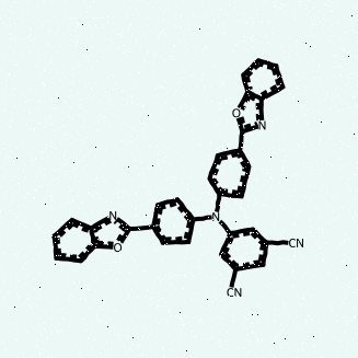 N#Cc1cc(C#N)cc(N(c2ccc(-c3nc4ccccc4o3)cc2)c2ccc(-c3nc4ccccc4o3)cc2)c1